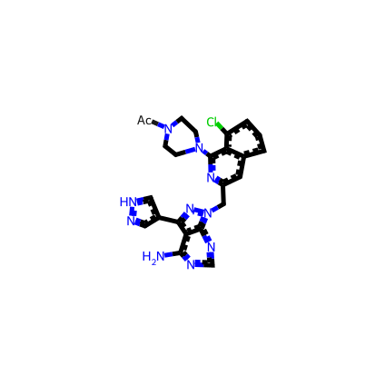 CC(=O)N1CCN(c2nc(Cn3nc(-c4cn[nH]c4)c4c(N)ncnc43)cc3cccc(Cl)c23)CC1